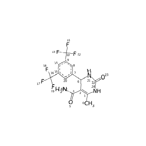 CC1=C(C(N)=O)C(c2cc(C(F)(F)F)cc(C(F)(F)F)c2)NC(=O)N1